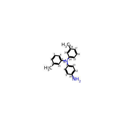 Cc1cccc(N(c2ccc(N)cc2)c2cccc(C)c2)c1